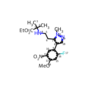 CCOC(=O)C(C)(C)NCCc1c(-c2cc([N+](=O)[O-])c(OC)cc2F)cnn1C